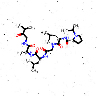 CC(C)C[C@H](NC(=O)CNC(=O)[C@H](CC(C)C)NC(=O)[C@@H]1CCCN1C(C)C)C(=O)N[C@@H](C)C(=O)NCC(=O)C(C)C